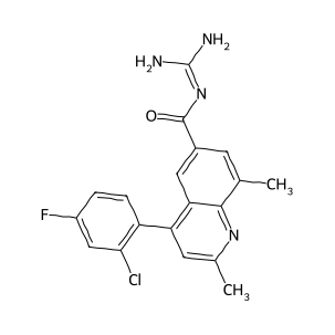 Cc1cc(-c2ccc(F)cc2Cl)c2cc(C(=O)N=C(N)N)cc(C)c2n1